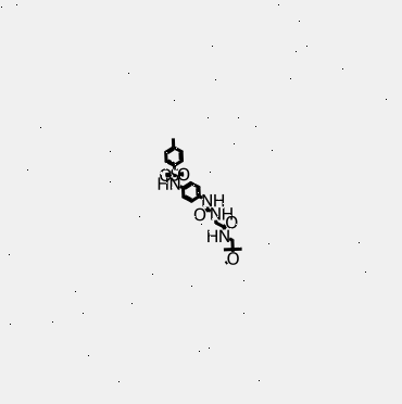 COC(C)(C)CNC(=O)CNC(=O)Nc1ccc(NS(=O)(=O)c2ccc(C)cc2)cc1